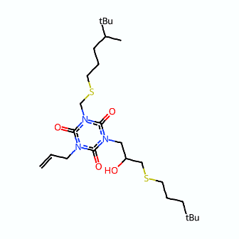 C=CCn1c(=O)n(CSCCCC(C)C(C)(C)C)c(=O)n(CC(O)CSCCCC(C)(C)C)c1=O